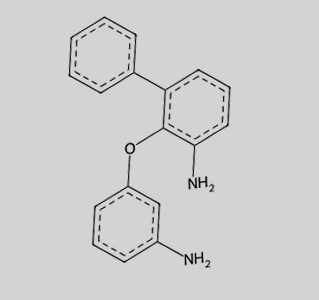 Nc1cccc(Oc2c(N)cccc2-c2ccccc2)c1